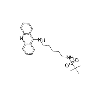 CC(C)(C)S(=O)(=O)NCCCCCNc1c2ccccc2nc2ccccc12